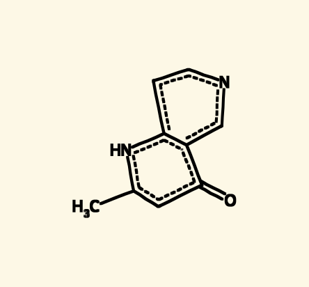 Cc1cc(=O)c2cnccc2[nH]1